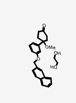 COC1(c2cccc(OCc3ccc4ccccc4c3)c2)CCC(=O)CC1.OCCO